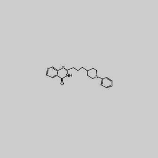 O=c1[nH]c(CCCC2CCN(c3ccccc3)CC2)nc2ccccc12